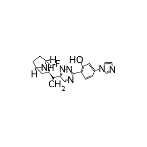 C=C(c1cnc(-c2ccc(-n3ccnc3)cc2O)nn1)[C@H]1C[C@@H]2CC[C@@H](N2)[C@H]1F